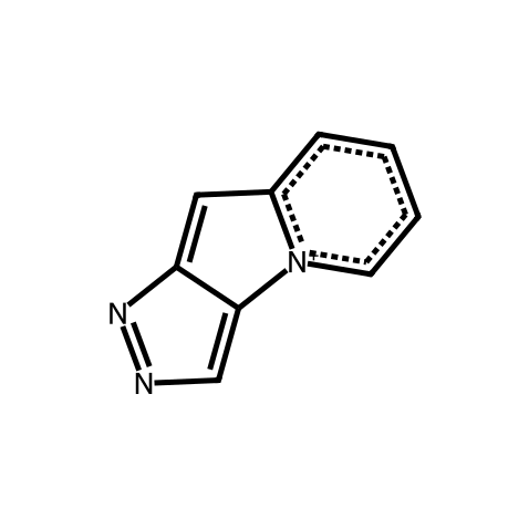 C1=C2N=NC=C2[n+]2ccccc21